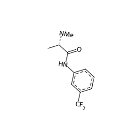 CN[C@@H](C)C(=O)Nc1cccc(C(F)(F)F)c1